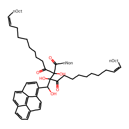 CCCCCCCC/C=C\CCCCCCCC(=O)C(O)(C(=O)CCCCCCCCC)C(O)(C(=O)CCCCCCC/C=C\CCCCCCCC)C(O)c1ccc2ccc3cccc4ccc1c2c34